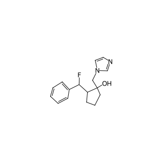 OC1(Cn2ccnc2)CCCC1C(F)c1ccccc1